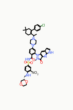 CC(C1=C(c2ccc(Cl)cc2)CC(C)(C)CC1)N1CCN(c2ccc(C(=O)NS(=O)(=O)c3ccc(NC[C@H]4COCCO4)c([N+](=O)[O-])c3)c(-n3c4cc5cc[nH]c5nc4c(=O)n3C)c2)CC1